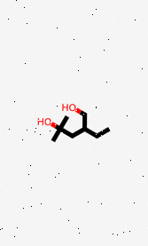 CCC(CO)CC(C)(C)O